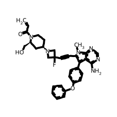 C=CC(=O)N1CC[C@@H](N2CC(F)(C#Cc3c(-c4ccc(Oc5ccccc5)cc4)c4c(N)ncnc4n3C)C2)C[C@H]1CO